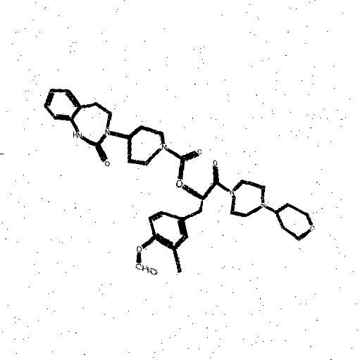 Cc1cc(C[C@@H](OC(=O)N2CCC(N3CCc4ccccc4NC3=O)CC2)C(=O)N2CCN(C3CCOCC3)CC2)ccc1OC=O